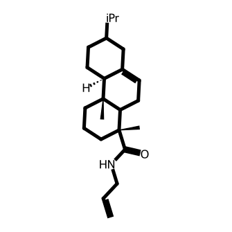 C=CCNC(=O)[C@]1(C)CCC[C@@]2(C)C1CC=C1CC(C(C)C)CC[C@@H]12